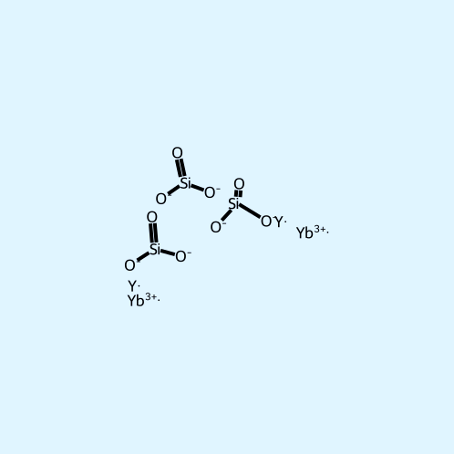 O=[Si]([O-])[O-].O=[Si]([O-])[O-].O=[Si]([O-])[O-].[Y].[Y].[Yb+3].[Yb+3]